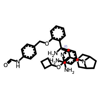 NC(N)=C(/C=C(\N)c1ccccc1OCc1ccc(NC=O)cc1)N1CC2CCC(C1)N2c1ccnc(OC2CCC2)c1